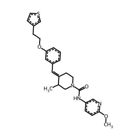 COc1ccc(NC(=O)N2CCC(=Cc3cccc(OCCc4ccsc4)c3)C(C)C2)cn1